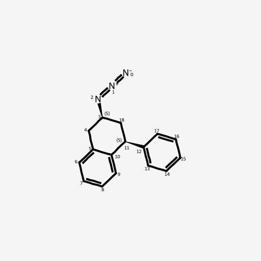 [N-]=[N+]=N[C@@H]1Cc2ccccc2[C@H](c2ccccc2)C1